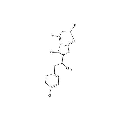 CC(Cc1ccc(Cl)cc1)N1Cc2cc(F)cc(I)c2C1=O